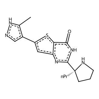 CCC[C@@]1(c2nc3cc(-c4cn[nH]c4C)sc3c(=O)[nH]2)CCCN1